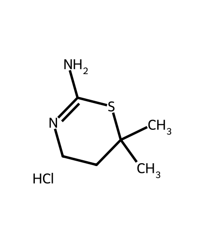 CC1(C)CCN=C(N)S1.Cl